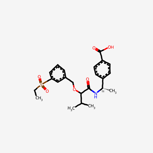 CCS(=O)(=O)c1cccc(COC(C(=O)N[C@@H](C)c2ccc(C(=O)O)cc2)C(C)C)c1